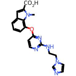 Cn1c(C(=O)O)cc2cccc(Oc3ccnc(NCCn4ccnc4)n3)c21